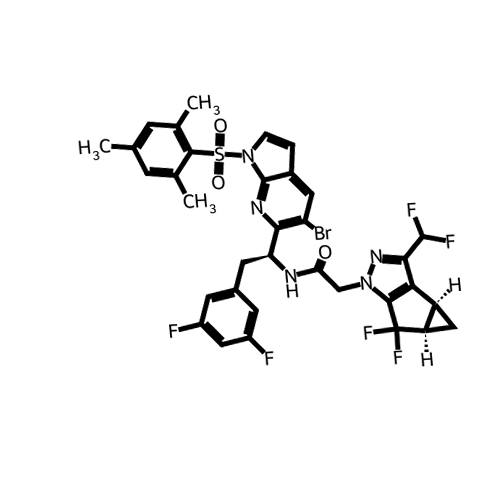 Cc1cc(C)c(S(=O)(=O)n2ccc3cc(Br)c([C@H](Cc4cc(F)cc(F)c4)NC(=O)Cn4nc(C(F)F)c5c4C(F)(F)[C@@H]4C[C@H]54)nc32)c(C)c1